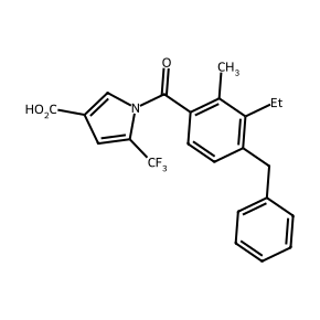 CCc1c(Cc2ccccc2)ccc(C(=O)n2cc(C(=O)O)cc2C(F)(F)F)c1C